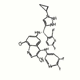 N#Cc1cnc2c(Cl)cc(N[C@H](C3=CN(C4CC4)NN3)c3ccc(F)nc3F)cc2c1Nc1cnc(F)c(F)c1